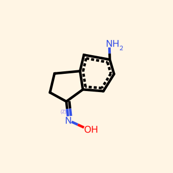 Nc1ccc2c(c1)CC/C2=N/O